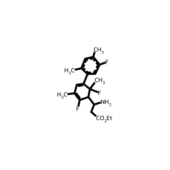 CCOC(=O)CC(N)C1C(F)=C(C)C=C(c2cc(F)c(C)cc2C)C1(C)F